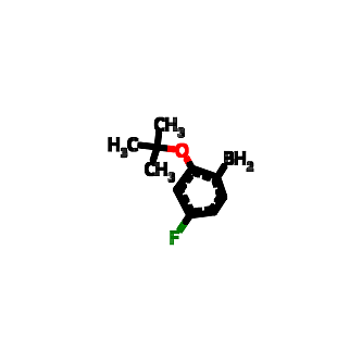 Bc1ccc(F)cc1OC(C)(C)C